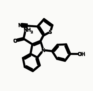 N#Cc1ccsc1-c1c(C(N)=O)c2ccccc2n1-c1ccc(O)cc1